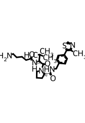 Cc1ncsc1-c1ccc(CNC(=O)[C@@H]2CCCN2C(=O)[C@@H](NC(=O)CCCCN)C(C)(C)C)cc1